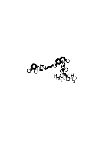 CC(CC(C)(C)C)OC(=O)OCN1C(=O)CCc2ccc(OCCCCN3CCN(c4cccc(Cl)c4Cl)CC3)cc21